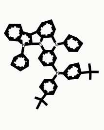 CC(C)(C)c1ccc(N(c2ccc(C(C)(C)C)cc2)c2ccc3c(c2)N(c2ccccc2)c2cccc4c2B3c2c-4c3ccccc3n2-c2ccccc2)cc1